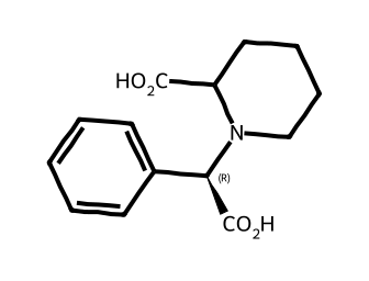 O=C(O)C1CCCCN1[C@@H](C(=O)O)c1ccccc1